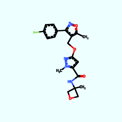 Cc1onc(-c2ccc(F)cc2)c1COc1cc(C(=O)NC2(C)COC2)n(C)n1